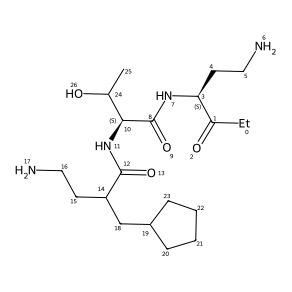 CCC(=O)[C@H](CCN)NC(=O)[C@@H](NC(=O)C(CCN)CC1CCCC1)C(C)O